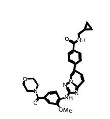 COc1cc(C(=O)N2CCOCC2)ccc1Nc1nc2ccc(-c3ccc(C(=O)NCC4CC4)cc3)cn2n1